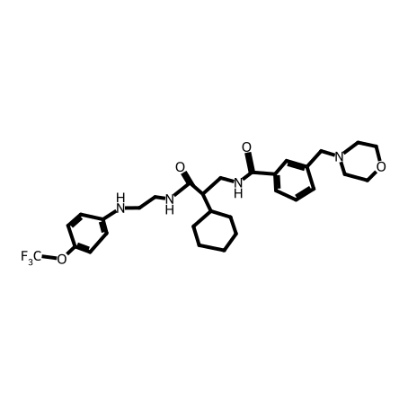 O=C(NCC(C(=O)NCCNc1ccc(OC(F)(F)F)cc1)C1CCCCC1)c1cccc(CN2CCOCC2)c1